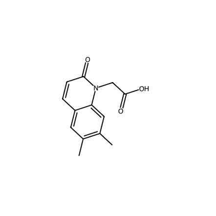 Cc1cc2ccc(=O)n(CC(=O)O)c2cc1C